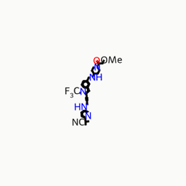 COCC(=O)N1CCC(NCc2ccc3c(c2)cc(C#CCNc2ccc(C(C)(C)C#N)nc2)n3CC(F)(F)F)CC1